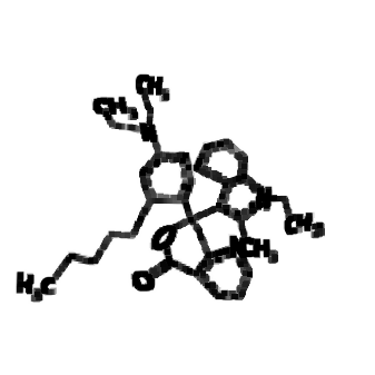 CCCCCc1cc(N(CC)CC)ccc1C1(c2c(C)n(CC)c3ccccc23)OC(=O)c2cccnc21